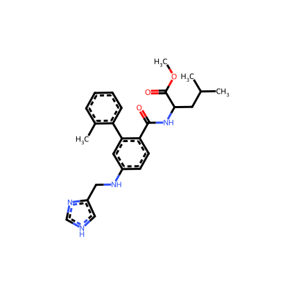 COC(=O)C(CC(C)C)NC(=O)c1ccc(NCc2c[nH]cn2)cc1-c1ccccc1C